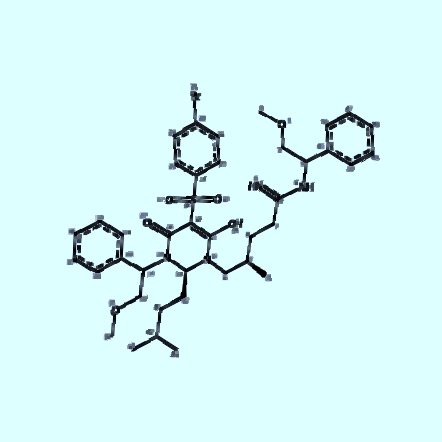 COCC(NC(=N)CC[C@@H](C)CN1C(O)=C(S(=O)(=O)c2ccc(Br)cc2)C(=O)N(C(COC)c2ccccc2)[C@@H]1CCC(C)C)c1ccccc1